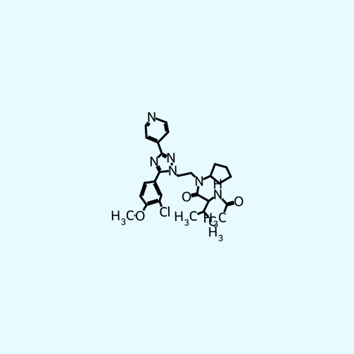 COc1ccc(-c2nc(-c3ccncc3)nn2CCN(C(=O)C(NC(C)=O)C(C)C)C2CCCC2)cc1Cl